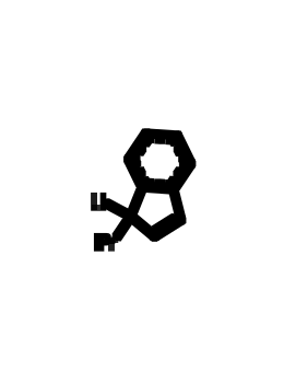 [Li][C]1(C(C)C)C=Cc2ccccc21